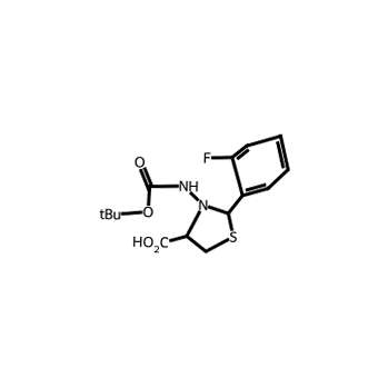 CC(C)(C)OC(=O)NN1C(C(=O)O)CSC1c1ccccc1F